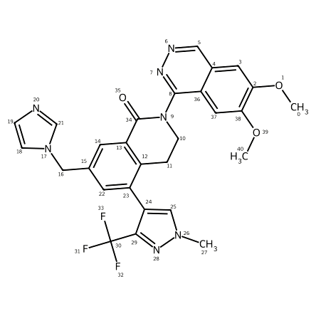 COc1cc2cnnc(N3CCc4c(cc(Cn5ccnc5)cc4-c4cn(C)nc4C(F)(F)F)C3=O)c2cc1OC